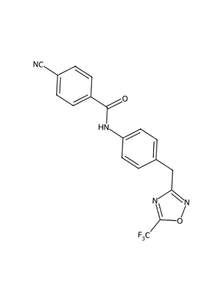 N#Cc1ccc(C(=O)Nc2ccc(Cc3noc(C(F)(F)F)n3)cc2)cc1